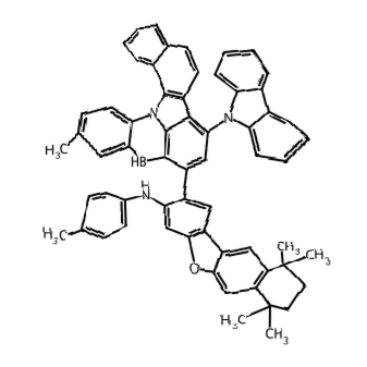 Cc1ccc(Nc2cc3oc4cc5c(cc4c3cc2-c2cc(-n3c4ccccc4c4ccccc43)c3c4ccc6ccccc6c4n4c3c2Bc2cc(C)ccc2-4)C(C)(C)CCC5(C)C)cc1